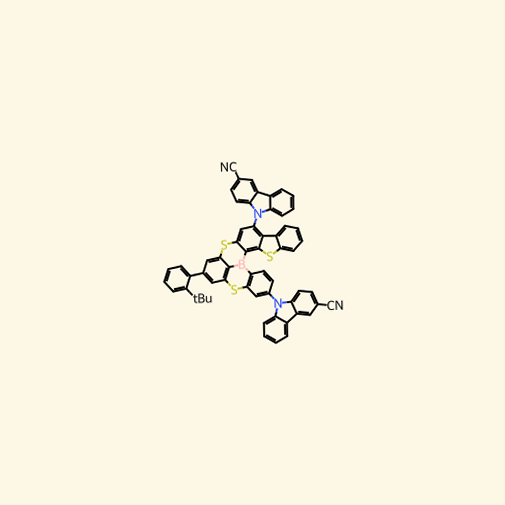 CC(C)(C)c1ccccc1-c1cc2c3c(c1)Sc1cc(-n4c5ccccc5c5cc(C#N)ccc54)c4c(sc5ccccc54)c1B3c1ccc(-n3c4ccccc4c4cc(C#N)ccc43)cc1S2